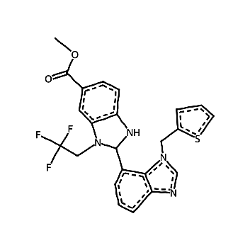 COC(=O)c1ccc2c(c1)N(CC(F)(F)F)C(c1cccc3ncn(Cc4cccs4)c13)N2